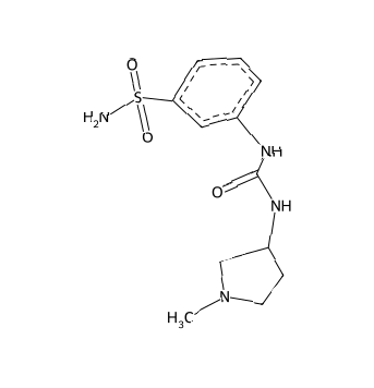 CN1CCC(NC(=O)Nc2cccc(S(N)(=O)=O)c2)C1